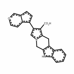 O=C(O)c1c(-c2ccc3coccc2-3)cn2c1Cc1c([nH]c3ccccc13)C2